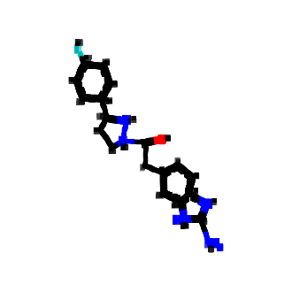 Nc1nc2ccc(CC(=O)N3CCC(c4ccc(F)cc4)=N3)cc2[nH]1